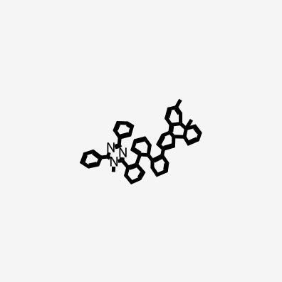 CC1=CC2C(=C3C=CC(C4=C(C5CC=CC=C5C5=C(C6=NC(c7ccccc7)=NC(c7ccccc7)N6C)CCC=C5)CCC=C4)=CC3C3C=CC=CC23C)C=C1